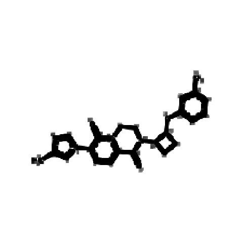 Cc1cn(-c2ccc3n(c2=O)CCN(C2CCC2Oc2cccc(C(F)(F)F)c2)C3=O)cn1